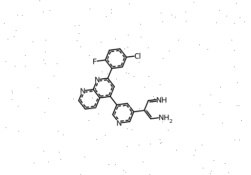 N=C/C(=C\N)c1cncc(-c2cc(-c3cc(Cl)ccc3F)nc3ncccc23)c1